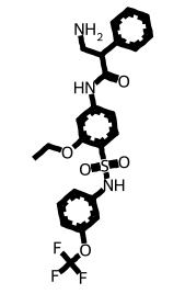 CCOc1cc(NC(=O)C(CN)c2ccccc2)ccc1S(=O)(=O)Nc1cccc(OC(F)(F)F)c1